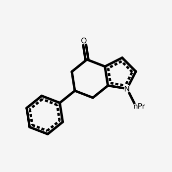 CCCn1ccc2c1CC(c1ccccc1)CC2=O